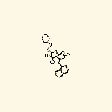 O=c1cc(Cc2cccc3ccccc23)c2c(=O)[nH]c(ON=C3CCCCC3)nc2o1